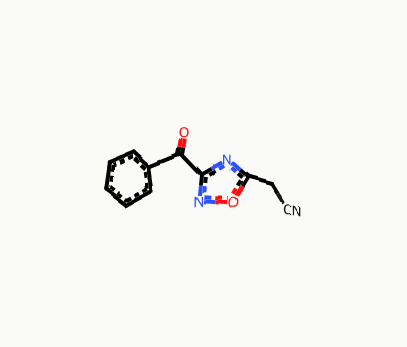 N#CCc1nc(C(=O)c2ccccc2)no1